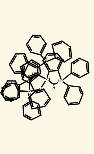 c1ccc([PH]([PH][Pd]([PH][PH](c2ccccc2)(c2ccccc2)c2ccccc2)([PH][PH](c2ccccc2)(c2ccccc2)c2ccccc2)[PH][PH](c2ccccc2)(c2ccccc2)c2ccccc2)(c2ccccc2)c2ccccc2)cc1